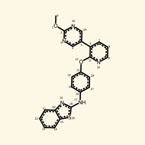 COc1ncc(-c2cccnc2Oc2ccc(Nc3nc4ccccc4s3)cc2)cn1